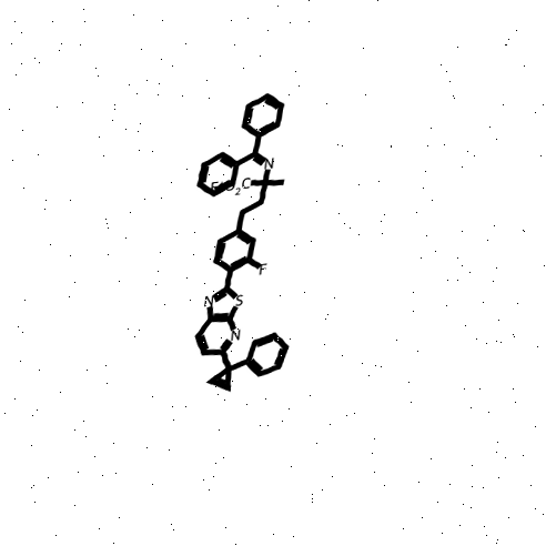 CCOC(=O)C(C)(CCc1ccc(-c2nc3ccc(C4(c5ccccc5)C=C4)nc3s2)c(F)c1)N=C(c1ccccc1)c1ccccc1